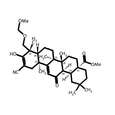 COCOC[C@@]1(C)C(O)=C(C#N)C[C@]2(C)C3=CC(=O)[C@@H]4[C@@H]5CC(C)(C)CC[C@]5(C(=O)OC)CC[C@@]4(C)[C@]3(C)CC[C@@H]12